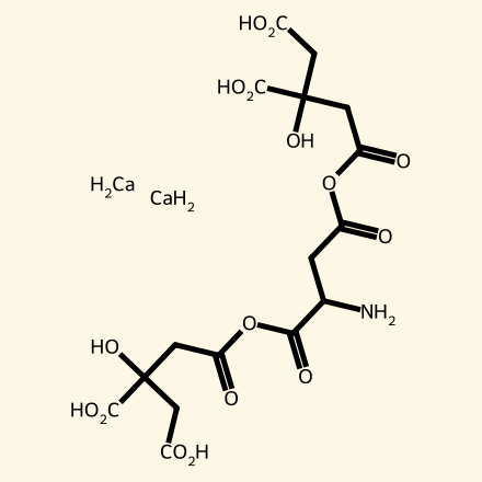 NC(CC(=O)OC(=O)CC(O)(CC(=O)O)C(=O)O)C(=O)OC(=O)CC(O)(CC(=O)O)C(=O)O.[CaH2].[CaH2]